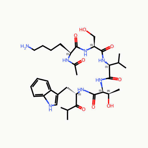 CC(=O)N[C@@H](CCCCN)C(=O)N[C@@H](CO)C(=O)N[C@H](C(=O)N[C@H](C(=O)N[C@@H](Cc1c[nH]c2ccccc12)C(=O)C(C)C)[C@@H](C)O)C(C)C